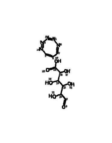 C1=CN=NN=NN=C1.O=CC(O)C(O)C(O)C(O)C(=O)O